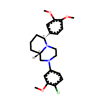 COc1cc(N2CCN3[C@@H](CCC[C@@H]3c3ccc(OC)c(OC)c3)C2)ccc1Cl